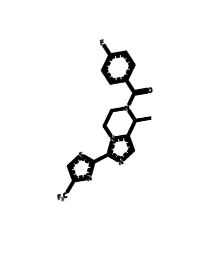 CC1c2cnc(-c3nc(C(F)(F)F)cs3)n2CCN1C(=O)c1ccc(F)cc1